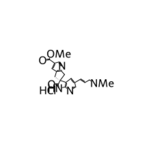 CNC/C=C/c1cnc2c(c1)[C@@]1(Cc3cc(C(=O)OC)cnc3C1)C(=O)N2.Cl